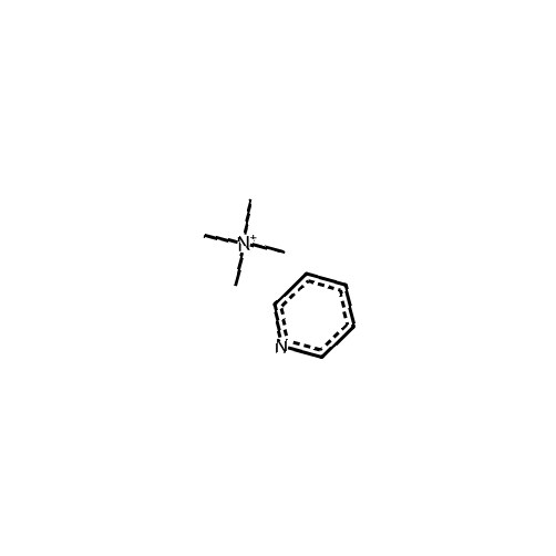 C[N+](C)(C)C.c1ccncc1